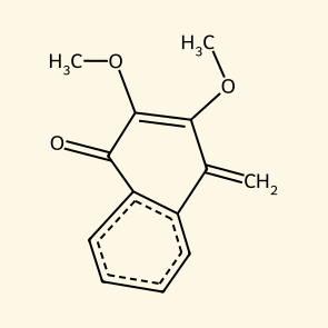 C=C1C(OC)=C(OC)C(=O)c2ccccc21